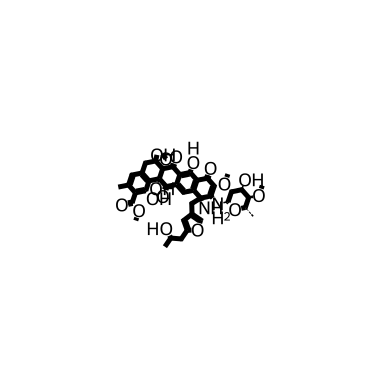 COC(=O)c1c(C)cc2c(c1O)[C@]1(O)C(=O)c3cc4c(c(O)c3C(=O)[C@]1(OC)C(O)C2)C(=O)C=C(N[C@H]1O[C@@H](C)[C@H](OC)[C@@H](O)[C@H]1OC)C4(N)Cc1coc(CC(C)O)c1